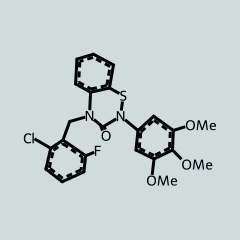 COc1cc(N2Sc3ccccc3N(Cc3c(F)cccc3Cl)C2=O)cc(OC)c1OC